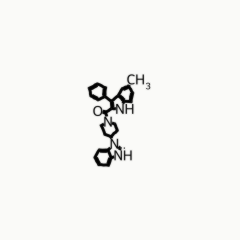 Cc1ccc2[nH]c(C(=O)N3CCC(N4[CH]Nc5ccccc54)CC3)c(-c3ccccc3)c2c1